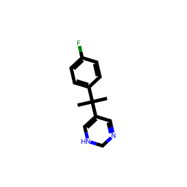 CC(C)(C1=CNCN=C1)c1ccc(F)cc1